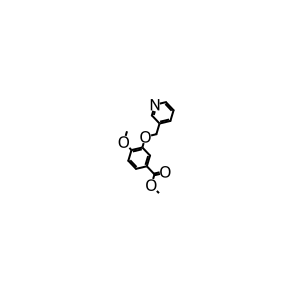 COC(=O)c1ccc(OC)c(OCc2cccnc2)c1